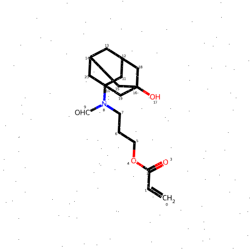 C=CC(=O)OCCCN(C=O)C12CC3CC(CC(O)(C3)C1)C2